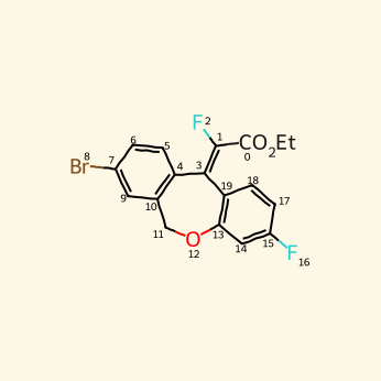 CCOC(=O)C(F)=C1c2ccc(Br)cc2COc2cc(F)ccc21